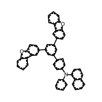 c1ccc(N(c2ccc(-c3cc(-c4ccc5oc6ccccc6c5c4)cc(-c4ccc5oc6ccccc6c5c4)c3)cc2)c2cccc3ccccc23)cc1